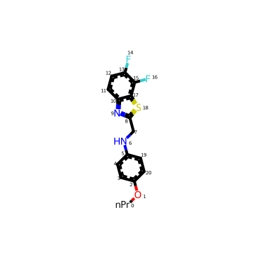 CCCOc1ccc(NCc2nc3ccc(F)c(F)c3s2)cc1